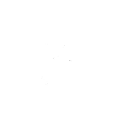 CC(=CC12CC3(C)CC(C)(C1)CC(C(=O)O)(C3)C2)C(=O)O